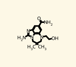 CC1(C)CN(CCO)c2cc(C(N)=O)cc3nc(N)n(c23)C1